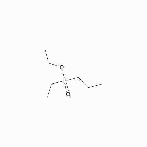 CCCP(=O)(CC)OCC